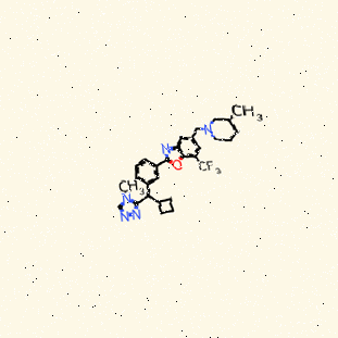 C[C@H]1CCCN(Cc2cc(C(F)(F)F)c3oc(-c4cccc(C(c5nncn5C)C5CCC5)c4)nc3c2)C1